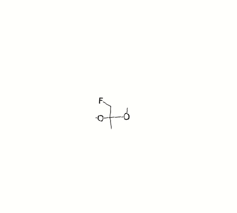 COC(C)([O])CF